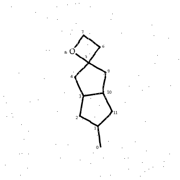 CC1CC2CC3(CCO3)CC2C1